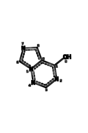 Oc1ncnn2cncc12